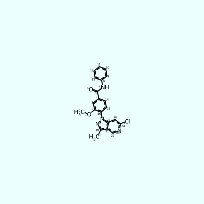 COc1cc(C(=O)Nc2ccccc2)ccc1-n1nc(C)c2cnc(Cl)cc21